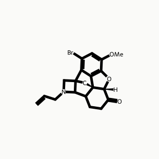 C=CCN1CC23C[C@@]45c6c(c(OC)cc(Br)c62)O[C@@H]4C(=O)CCC5C13